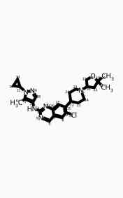 Cc1c(Nc2ncc3cc(Cl)c(C4CCN(C5COC(C)(C)C5)CC4)cc3n2)cnn1C1CC1